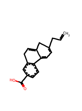 C=CCC1=CC=C2C(=CCc3cc(C(=O)O)ccc32)C1